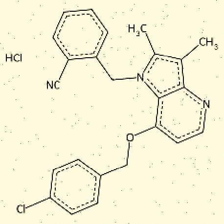 Cc1c(C)n(Cc2ccccc2C#N)c2c(OCc3ccc(Cl)cc3)ccnc12.Cl